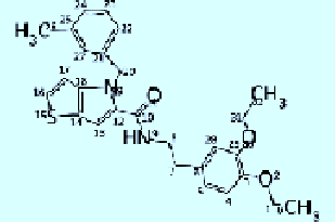 CCOc1ccc(CCNC(=O)c2cc3sccc3n2Cc2cccc(C)c2)cc1OCC